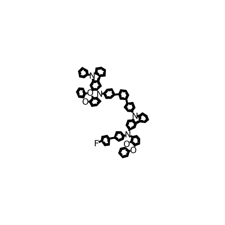 Fc1ccc(-c2ccc(N(c3ccc4c(c3)c3ccccc3n4-c3ccc(-c4cccc(-c5ccc(N(c6ccc7c(c6)c6ccccc6n7-c6ccccc6)c6cccc7c6Oc6ccccc6O7)cc5)c4)cc3)c3cccc4c3Oc3ccccc3O4)cc2)cc1